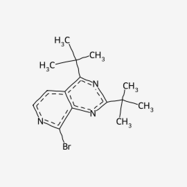 CC(C)(C)c1nc(C(C)(C)C)c2ccnc(Br)c2n1